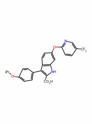 CC(C)Oc1ccc(-c2c(C(=O)O)[nH]c3cc(Oc4ccc(C(F)(F)F)cn4)ccc23)cc1